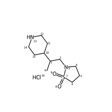 CC(CN1CCCS1(=O)=O)C1CCNCC1.Cl